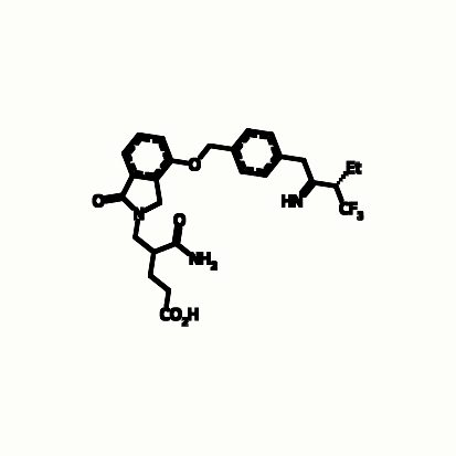 CC[C@@H](C(=N)Cc1ccc(COc2cccc3c2CN(CC(CCC(=O)O)C(N)=O)C3=O)cc1)C(F)(F)F